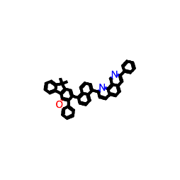 CC1(C)c2ccccc2-c2c1cc(-c1cccc3c(-c4ccc5ccc6cc(-c7ccccc7)ncc6c5n4)cccc13)c1c2oc2ccccc21